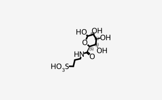 O=C(NCCCS(=O)(=O)O)[C@H]1OC(O)[C@H](O)[C@@H](O)[C@@H]1O